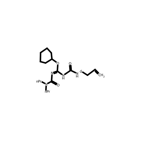 C=CCSNC(=O)NC(=NC(=O)N(CCC)CCC)OC1CCCCC1